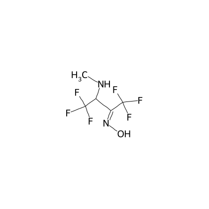 CNC(C(=NO)C(F)(F)F)C(F)(F)F